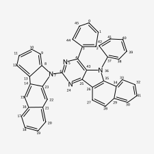 c1ccc(-c2nc(-n3c4ccccc4c4cc5ccccc5cc43)nc3c4ccc5ccccc5c4n(-c4ccccc4)c23)cc1